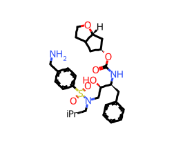 CC(C)CN(C[C@@H](O)[C@H](Cc1ccccc1)NC(=O)O[C@@H]1CC2CCO[C@@H]2C1)S(=O)(=O)c1ccc(CN)cc1